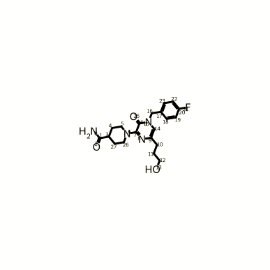 NC(=O)C1CCN(c2nc(CCCO)cn(Cc3ccc(F)cc3)c2=O)CC1